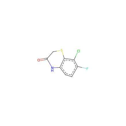 O=C1CSc2c(ccc(F)c2Cl)N1